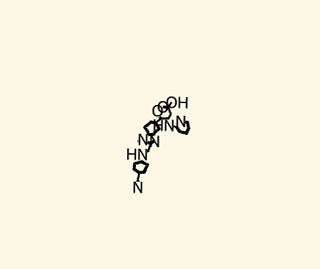 Cn1c(CNc2ccc(C#N)cc2)nc2cc(C(=O)C(CC(=O)O)Nc3ccccn3)ccc21